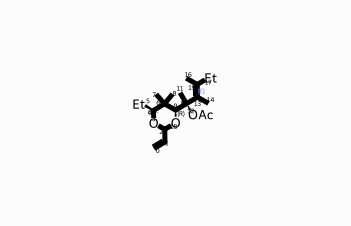 C=CC1O[C@@H](CC)C(C)(C)[C@H]([C@](C)(OC(C)=O)/C(C)=C(\C)CC)O1